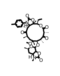 CC[C@H]1OC(=O)[C@H](C)C(=O)[C@H](C)[C@@H](OC2O[C@H](C)C[C@H]3C2OC(=O)N3C)[C@](C)(OC)C[C@@H](C)C(=O)[C@H](C)[C@H]2N(c3ccc(C)cc3)C(=O)O[C@]12C